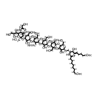 CCCCCCCCCCCCC/C=C/[C@@H](O)[C@H](CO[C@@H]1OC(CO)[C@@H](O[C@@H]2OC(CO)[C@H](O[C@@H]3OC(CO)[C@H](O)[C@H](O[C@@H]4OC(CO)[C@H](O)[C@H](O[C@@H]5OC(CO)[C@H](O)[C@H](O[C@]6(C(=O)O)CC(O)[C@@H](NC(=O)CO)C([C@H](O)[C@H](O)CO)O6)C5O)C4NC(C)=O)C3O)[C@H](O)C2O)[C@H](O)C1O)NC(=O)CCCCCCCCCCCCCCCCC